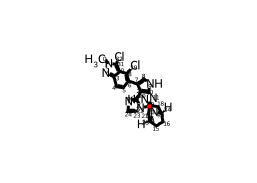 Cn1nc2ccc(-c3c[nH]c4nc(N5[C@@H]6CC[C@H]5CC(N)C6)n5ccnc5c34)c(Cl)c2c1Cl